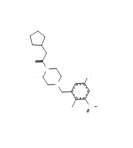 Cc1c(CN2CCN(C(=O)CC3CCCC3)[C@@H](C)C2)cc(Cl)cc1[N+](=O)[O-]